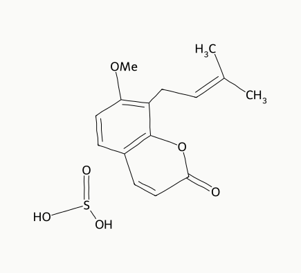 COc1ccc2ccc(=O)oc2c1CC=C(C)C.O=S(O)O